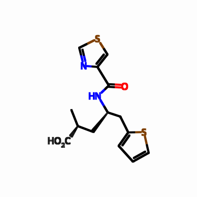 C[C@@H](C[C@H](Cc1cccs1)NC(=O)c1cscn1)C(=O)O